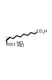 CCCCCCCC/C=C\CCCCCCCC(=O)O.Cl.Cl